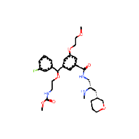 CN[C@H](CNC(=O)c1cc(OCCOC)cc(C(OCCNC(=O)OC)c2cccc(F)c2)c1)C[C@H]1CCCOC1